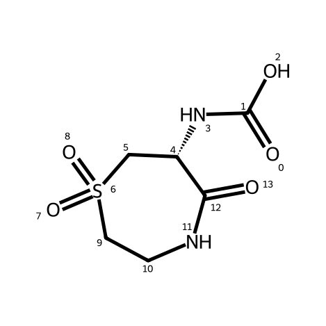 O=C(O)N[C@H]1CS(=O)(=O)CCNC1=O